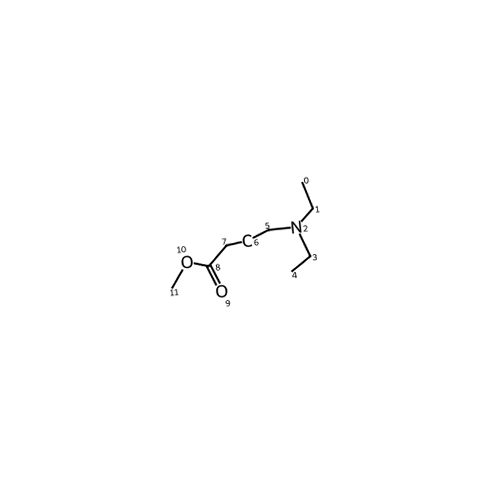 CCN(CC)CCCC(=O)OC